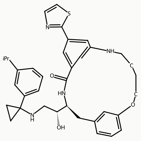 CC(C)c1cccc(C2(NC[C@@H](O)[C@@H]3Cc4cccc(c4)OCCCCNc4cc(cc(-c5nccs5)c4)C(=O)N3)CC2)c1